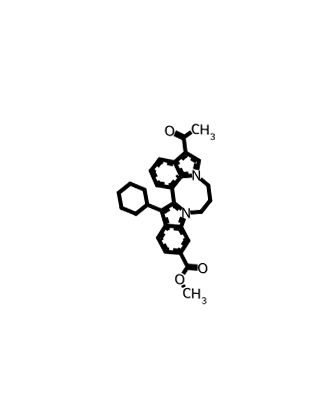 COC(=O)c1ccc2c(C3CCCCC3)c3n(c2c1)CCCn1cc(C(C)=O)c2cccc-3c21